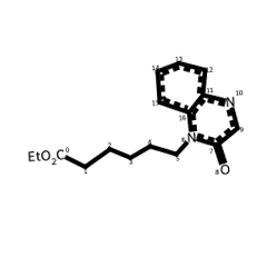 CCOC(=O)CCCCCn1c(=O)cnc2ccccc21